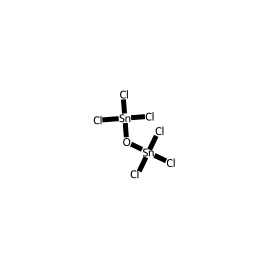 [Cl][Sn]([Cl])([Cl])[O][Sn]([Cl])([Cl])[Cl]